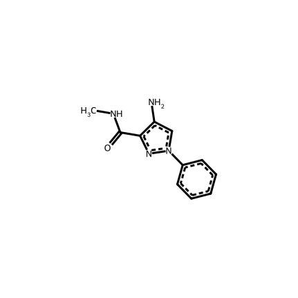 CNC(=O)c1nn(-c2ccccc2)cc1N